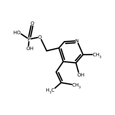 CC(C)=Cc1c(COP(=O)(O)O)cnc(C)c1O